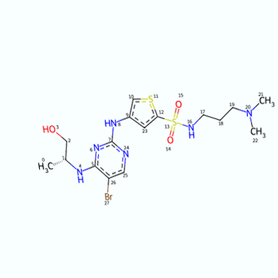 C[C@H](CO)Nc1nc(Nc2csc(S(=O)(=O)NCCCN(C)C)c2)ncc1Br